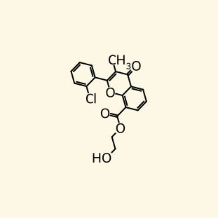 Cc1c(-c2ccccc2Cl)oc2c(C(=O)OCCO)cccc2c1=O